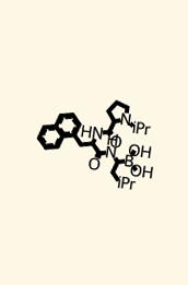 CC(C)CC(NC(=O)C(Cc1cccc2ccccc12)NC(=O)C1CCCN1C(C)C)B(O)O